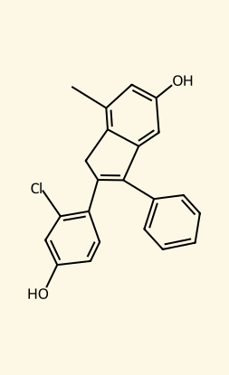 Cc1cc(O)cc2c1CC(c1ccc(O)cc1Cl)=C2c1ccccc1